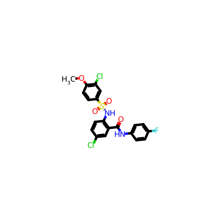 COc1ccc(S(=O)(=O)Nc2ccc(Cl)cc2C(=O)Nc2ccc(F)cc2)cc1Cl